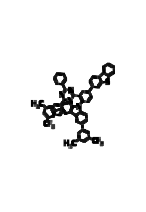 Cc1cc(-c2ccc3c(c2)c2cc(-c4cc(C)cc(C(F)(F)F)c4)ccc2n3-c2ccc(-c3ccc4c(c3)sc3ccccc34)cc2-c2nc(-c3ccccc3)nc(-c3ccccc3)n2)cc(C(F)(F)F)c1